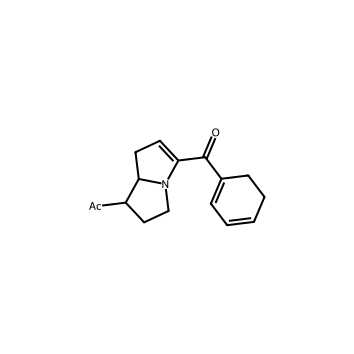 CC(=O)C1CCN2C(C(=O)C3=CC=CCC3)=CCC12